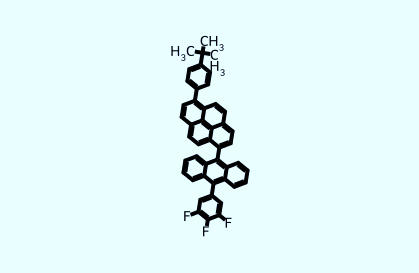 CC(C)(C)c1ccc(-c2ccc3ccc4c(-c5c6ccccc6c(-c6cc(F)c(F)c(F)c6)c6ccccc56)ccc5ccc2c3c54)cc1